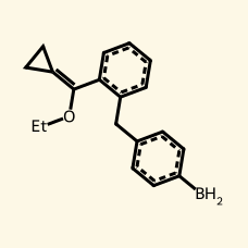 Bc1ccc(Cc2ccccc2C(OCC)=C2CC2)cc1